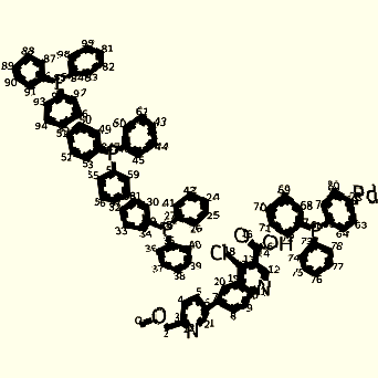 COCc1ccc(-c2ccc3ncc(C(=O)O)c(Cl)c3c2)cn1.[Pd].c1ccc(P(c2ccccc2)c2ccccc2)cc1.c1ccc(P(c2ccccc2)c2ccccc2)cc1.c1ccc(P(c2ccccc2)c2ccccc2)cc1.c1ccc(P(c2ccccc2)c2ccccc2)cc1